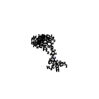 CC/C(=C\CCC(O)(CC)CC)C1=CC=C(COc2ccc(C(O[SiH](C)C)C(C)(C)C)c(C(O[SiH](C)C)C(C)(C)C)c2)C1